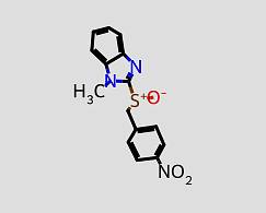 Cn1c([S+]([O-])Cc2ccc([N+](=O)[O-])cc2)nc2ccccc21